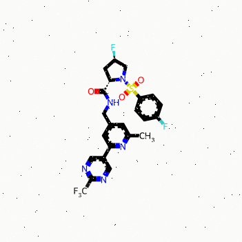 Cc1cc(CNC(=O)[C@@H]2C[C@@H](F)CN2S(=O)(=O)c2ccc(F)cc2)cc(-c2cnc(C(F)(F)F)nc2)n1